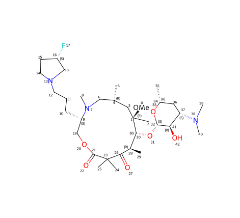 CO[C@]1(C)C[C@@H](C)CN(C)[C@@H](CCCN2CC[C@H](F)C2)COC(=O)C(C)(C)C(=O)[C@H](C)[C@H]1O[C@@H]1O[C@H](C)C[C@H](N(C)C)[C@H]1O